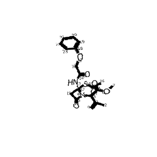 C=C(C)C(C(=O)OC)N1C(=O)C[C@@]1(NC(=O)COc1ccccc1)SC(C)=O